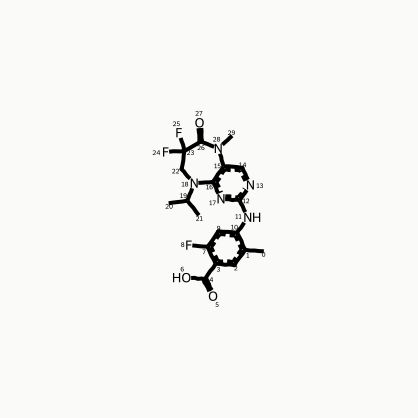 Cc1cc(C(=O)O)c(F)cc1Nc1ncc2c(n1)N(C(C)C)CC(F)(F)C(=O)N2C